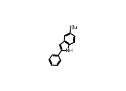 CC(C)(C)c1ccc2[nH]c(-c3ccccc3)cc2c1